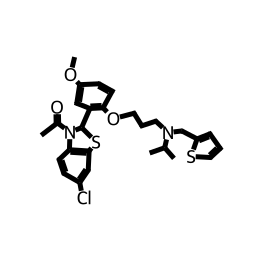 COc1ccc(OCCCN(Cc2cccs2)C(C)C)c(C2Sc3cc(Cl)ccc3N2C(C)=O)c1